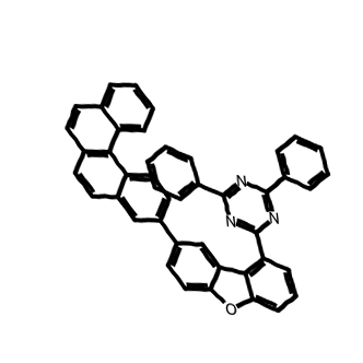 c1ccc(-c2nc(-c3ccccc3)nc(-c3cccc4oc5ccc(-c6ccc7c(ccc8ccc9ccccc9c87)c6)cc5c34)n2)cc1